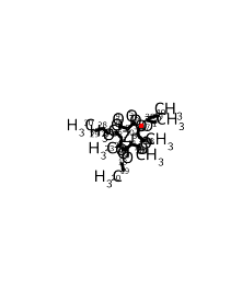 CCCOC(=O)[CH](C(C)=O)[Zr]([CH](C(C)=O)C(=O)OCCC)([CH](C(C)=O)C(=O)OCCC)[CH](C(C)=O)C(=O)OCCC